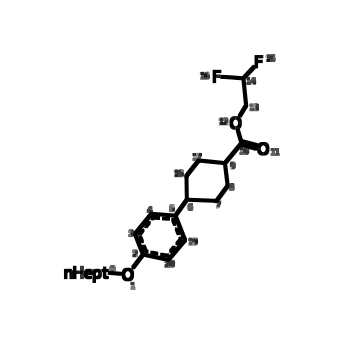 CCCCCCCOc1ccc(C2CCC(C(=O)OCC(F)F)CC2)cc1